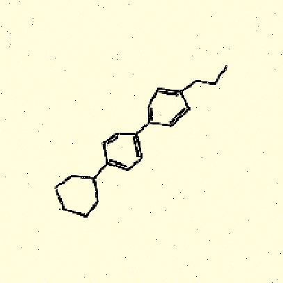 CCCc1ccc(-c2ccc(C3CC[CH]CC3)cc2)cc1